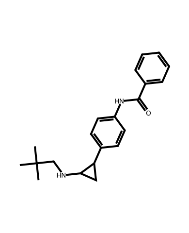 CC(C)(C)CNC1CC1c1ccc(NC(=O)c2ccccc2)cc1